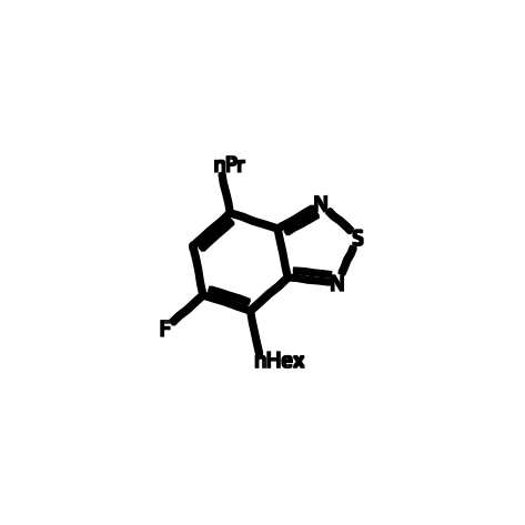 CCCCCCc1c(F)cc(CCC)c2nsnc12